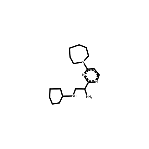 NC(CNC1CCCCC1)c1nccc(N2CCCCCC2)n1